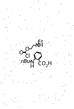 CCCCNc1ccccc1C(=O)O.CCNCCOC(=O)Cl